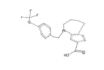 O=C(O)c1ccc2c(c1)N(Cc1ccc(OC(F)(F)F)cc1)CCCC2